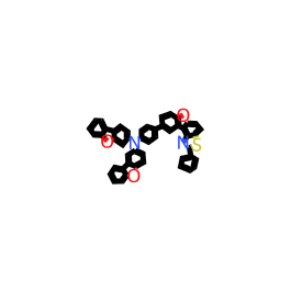 c1ccc(-c2nc3c(ccc4oc5ccc(-c6ccc(N(c7ccc8c(c7)oc7ccccc78)c7ccc8oc9ccccc9c8c7)cc6)cc5c43)s2)cc1